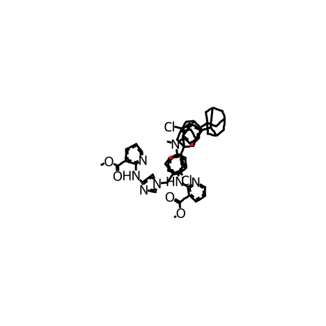 COC(=O)c1cccnc1Nc1ccc(N(C)c2ccc(C34CC5CC(C3)C(C3C6CC7CC3CC(c3ccc(Cn8cnc(Nc9ncccc9C(=O)OC)c8)c(Cl)c3)(C7)C6)C(C5)C4)cc2Cl)cc1